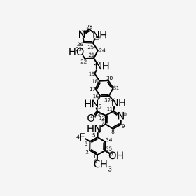 Cc1cc(F)c(Nc2ccnc3c2C(=O)Nc2cc(CNC(CO)Cc4cnc[nH]4)ccc2N3)cc1O